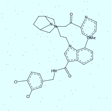 COc1cccc2c(C(=O)NCc3ccc(Cl)c(Cl)c3)cn(CCCN3C4CCC3CN(CC(=O)c3ccccn3)C4)c12